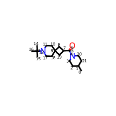 CC1CCN(C(=O)C2CC3(CCN(C(C)(C)C)CC3)C2)CC1